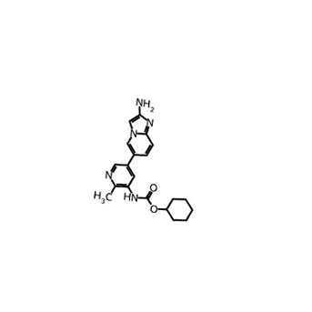 Cc1ncc(-c2ccc3nc(N)cn3c2)cc1NC(=O)OC1CCCCC1